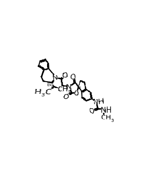 CNC(=O)Nc1ccc2c(c1)CC[C@]21OC(=O)N(CC(=O)N2Cc3ccccc3CC[C@H]2C(C)C)C1=O